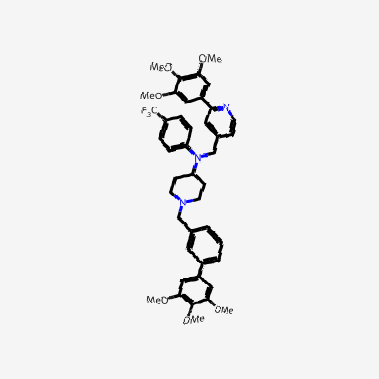 COc1cc(-c2cccc(CN3CCC(N(Cc4ccnc(-c5cc(OC)c(OC)c(OC)c5)c4)c4ccc(C(F)(F)F)cc4)CC3)c2)cc(OC)c1OC